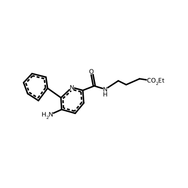 CCOC(=O)CCCNC(=O)c1ccc(N)c(-c2ccccc2)n1